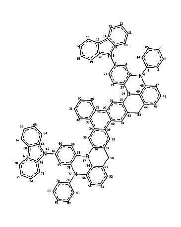 c1ccc(N2c3cc(-n4c5ccccc5c5ccccc54)ccc3B3c4cc5c6ccccc6c6cc7c(cc6c5cc4Cc4cccc2c43)Cc2cccc3c2B7c2ccc(-n4c5ccccc5c5ccccc54)cc2N3c2ccccc2)cc1